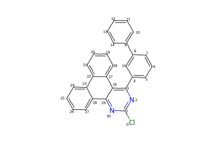 Clc1nc(-c2cccc(-c3ccccc3)c2)c2c3ccccc3c3ccccc3c2n1